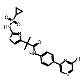 CC(C)(C(=O)Nc1ccc(-c2cncc(Cl)n2)cc1)c1csc(NS(=O)(=O)C2CC2)n1